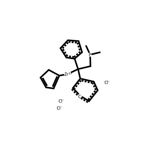 CP(C)C[C]([Zr+3][C]1=CC=CC1)(c1ccccc1)c1ccccc1.[Cl-].[Cl-].[Cl-]